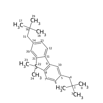 CC(C)(C)Cc1ccc2c(c1)-c1ccc(CC(C)(C)C)cc1S2(C)C